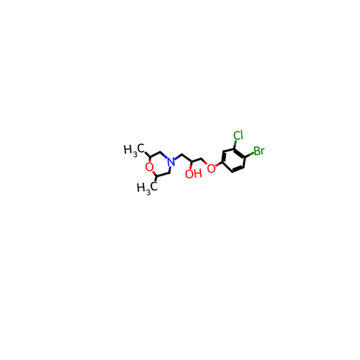 CC1CN(CC(O)COc2ccc(Br)c(Cl)c2)CC(C)O1